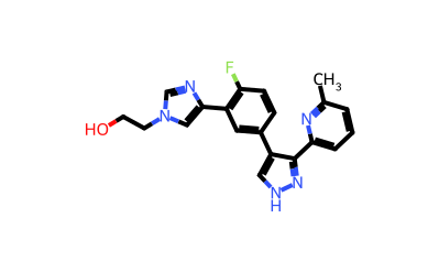 Cc1cccc(-c2n[nH]cc2-c2ccc(F)c(-c3cn(CCO)cn3)c2)n1